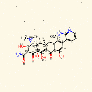 COc1c(-c2cccnc2N)cc(O)c2c1C[C@H]1C[C@H]3[C@H](N(C)C)C(O)=C(C(N)=O)C(=O)[C@@]3(O)C(O)=C1C2=O